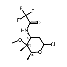 CO[C@]1(C)[C@@H](NC(=O)C(F)(F)F)CC(Cl)O[C@H]1C